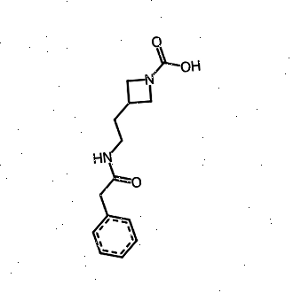 O=C(Cc1ccccc1)NCCC1CN(C(=O)O)C1